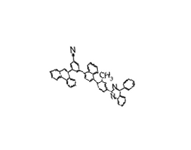 CC1C=C(c2nc(-c3ccccc3)c3ccccc3n2)C=CC1c1ccc(-c2cc(C#N)cc(-c3cc4ccccc4c4ccccc34)c2)c2ccccc12